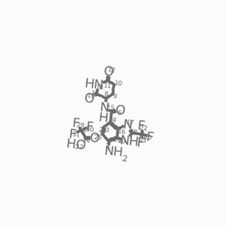 Nc1ccc(C(=O)NC2CCC(=O)NC2=O)c2nc(C(F)(F)F)[nH]c12.O=C(O)C(F)(F)F